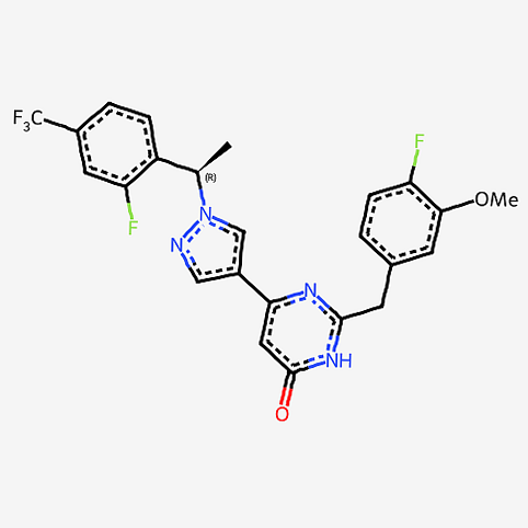 COc1cc(Cc2nc(-c3cnn([C@H](C)c4ccc(C(F)(F)F)cc4F)c3)cc(=O)[nH]2)ccc1F